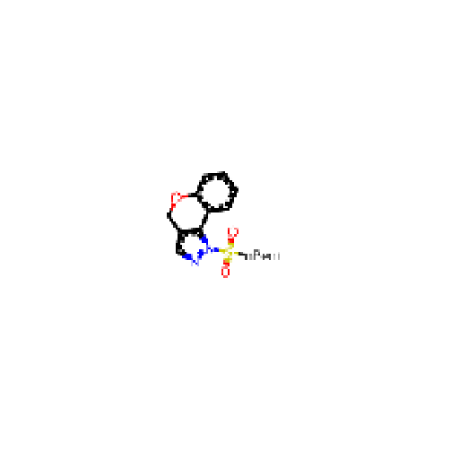 CCCCCS(=O)(=O)n1ncc2c1-c1ccccc1OC2